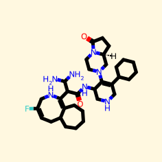 NC(N)C(C(=O)NC1CNCC(C2CCCCC2)=C1N1CCN2C(=O)CC[C@H]2C1)/C1=C2\CCCCCC2C/C=C(/F)CN1